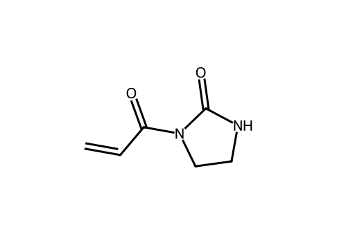 C=CC(=O)N1CCNC1=O